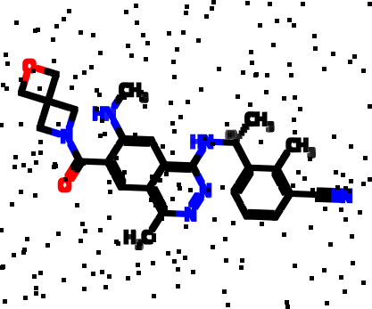 CNc1cc2c(N[C@H](C)c3cccc(C#N)c3C)nnc(C)c2cc1C(=O)N1CC2(COC2)C1